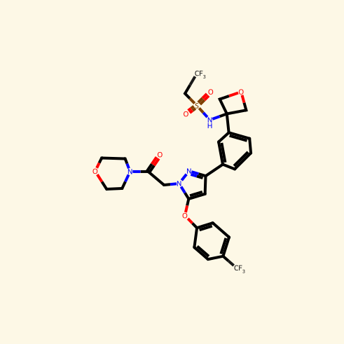 O=C(Cn1nc(-c2cccc(C3(NS(=O)(=O)CC(F)(F)F)COC3)c2)cc1Oc1ccc(C(F)(F)F)cc1)N1CCOCC1